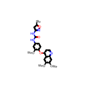 COc1cc2nccc(Oc3ccc(NC(=O)Nc4cc(C(C)(C)C)on4)cc3OC)c2cc1OC